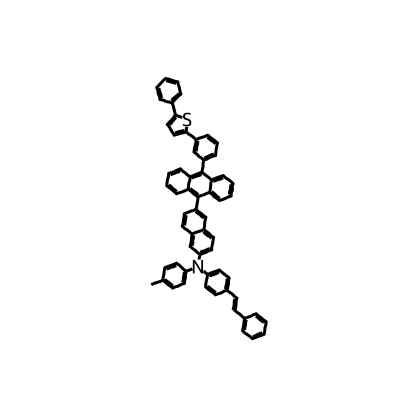 Cc1ccc(N(c2ccc(/C=C/c3ccccc3)cc2)c2ccc3cc(-c4c5ccccc5c(-c5cccc(-c6ccc(-c7ccccc7)s6)c5)c5ccccc45)ccc3c2)cc1